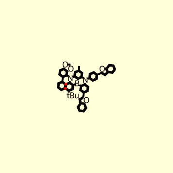 Cc1cc2c3c(c1)N(c1c(-c4ccccc4)ccc4c1OCO4)c1ccc(C(C)(C)C)cc1B3c1cc(-c3cc4ccccc4o3)ccc1N2c1ccc(-c2cc3ccccc3o2)cc1